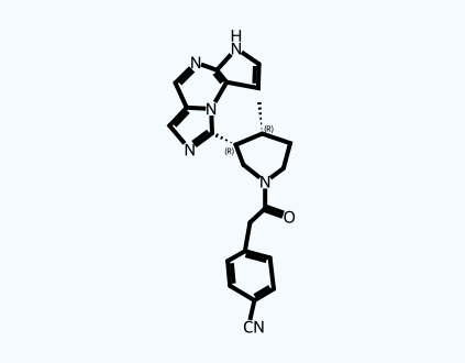 C[C@@H]1CCN(C(=O)Cc2ccc(C#N)cc2)C[C@@H]1c1ncc2cnc3[nH]ccc3n12